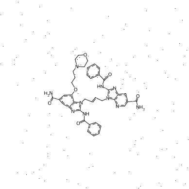 NC(=O)c1cnc2c(c1)nc(NC(=O)c1ccccc1)n2CC=CCn1c(NC(=O)c2ccccc2)nc2cc(C(N)=O)cc(OCCCN3CCOCC3)c21